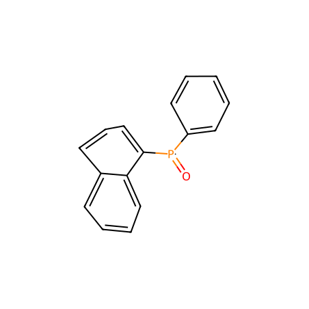 O=[P](c1ccccc1)c1cccc2ccccc12